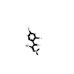 CN(C)/C=C(/C#N)C(=O)c1ccc(F)cc1F